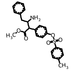 COC(=O)C(c1ccc(OS(=O)(=O)c2ccc(C)cc2)cc1)C(N)Cc1ccccc1